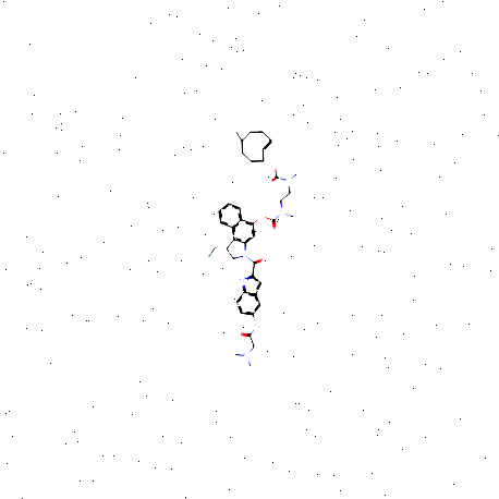 CN(C)CC(=O)Nc1ccc2[nH]c(C(=O)N3C[C@@H](CCl)c4c3cc(OC(=O)N(C)CCN(C)C(=O)O[C@H]3/C=C/CC[C@@](C)(C(=O)O)CC3)c3ccccc43)cc2c1